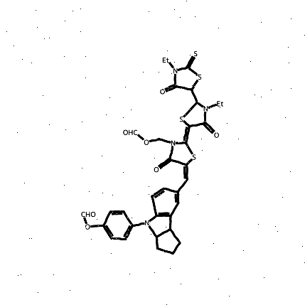 CCN1C(=O)C(C2S/C(=c3/s/c(=C/c4ccc5c(c4)C4CCCC4N5c4ccc(OC=O)cc4)c(=O)n3COC=O)C(=O)N2CC)SC1=S